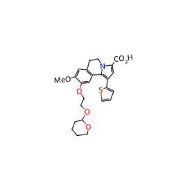 COc1cc2c(cc1OCCOC1CCCCO1)-c1c(-c3cccs3)cc(C(=O)O)n1CC2